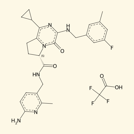 Cc1cc(F)cc(CNc2nc(C3CC3)c3n(c2=O)[C@H](C(=O)NCc2ccc(N)nc2C)CC3)c1.O=C(O)C(F)(F)F